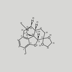 Cc1ccc2c3c1O[C@H]1C4(CC[C@H]5[C@@H](C2)N(C)CC[C@@]351)OCCO4